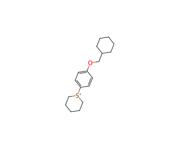 c1cc([S+]2CCCCC2)ccc1OCC1CCCCC1